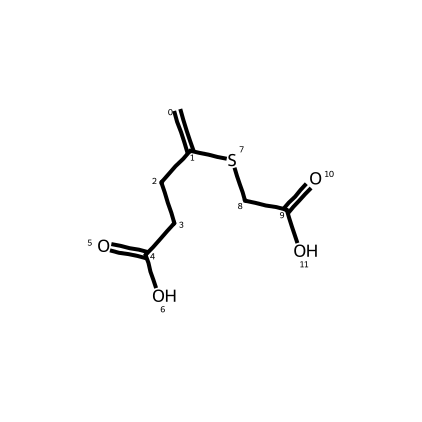 C=C(CCC(=O)O)SCC(=O)O